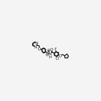 O=C(NS(=O)(=O)c1ccc(OCc2ncccn2)cc1)c1cc(Cl)c(OCC2CCCC2)cc1F